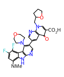 CNc1cc(F)c(F)c2c1[nH]c1ncc(-c3cnc4c(c3)c(=O)c(C(=O)O)cn4CC3CCCO3)c(N3CCOCC3)c12